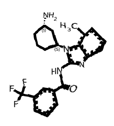 Cc1cccc2nc(NC(=O)c3cccc(C(F)(F)F)c3)n([C@H]3CCC[C@H](N)C3)c12